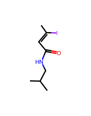 CC(I)=CC(=O)NCC(C)C